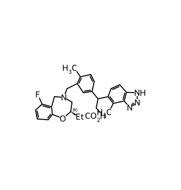 CC[C@@H]1CN(Cc2cc(C(CC(=O)O)c3ccc4[nH]nnc4c3C)ccc2C)Cc2c(F)cccc2O1